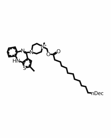 CCCCCCCCCCCCCCCCCCCCCC(=O)OC[N+]1(C)CCN(C2=Nc3ccccc3Nc3sc(C)cc32)CC1